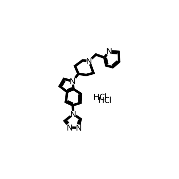 Cl.Cl.c1ccc(CN2CCC(n3ccc4cc(-n5cnnc5)ccc43)CC2)nc1